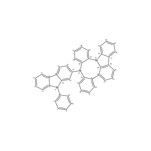 c1ccc(-n2c3ccccc3c3ccc(-n4c5ccccc5c5cccc6c7ccccc7n(c7ccccc74)c56)cc32)cc1